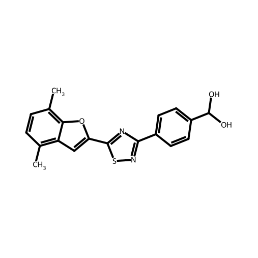 Cc1ccc(C)c2oc(-c3nc(-c4ccc(C(O)O)cc4)ns3)cc12